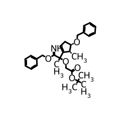 C[C@H]1C(C(C)(OCC(=O)OC(C)(C)C)C(=N)OCc2ccccc2)=CC[C@H]1OCc1ccccc1